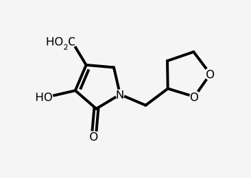 O=C(O)C1=C(O)C(=O)N(CC2CCOO2)C1